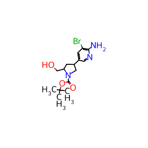 CC(C)(C)OC(=O)N1CC(c2cnc(N)c(Br)c2)CC1CO